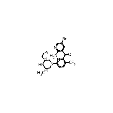 CC(C)C[C@H]1CN(c2ccc(C(F)(F)F)c(C(=O)c3cc(Br)cnc3N)n2)C[C@H](C)N1